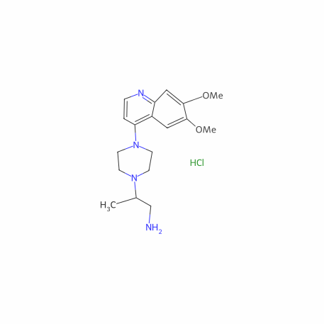 COc1cc2nccc(N3CCN(C(C)CN)CC3)c2cc1OC.Cl